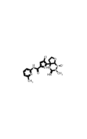 Cc1cccc(NC(=O)c2cc(Cl)c(C34CCOC3[S+]([O-])N(C)C(=N)N4)s2)n1